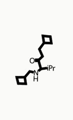 CC(C)C(NCC1CCC1)C(=O)CCC1CCC1